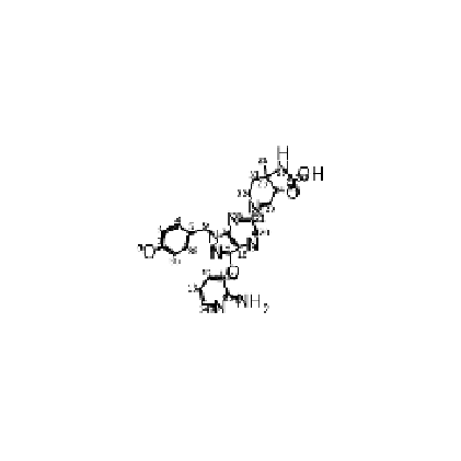 COc1ccc(Cn2nc(Oc3cccnc3N)c3ncc(N4CCC(C)(NC(=O)O)CC4)nc32)cc1